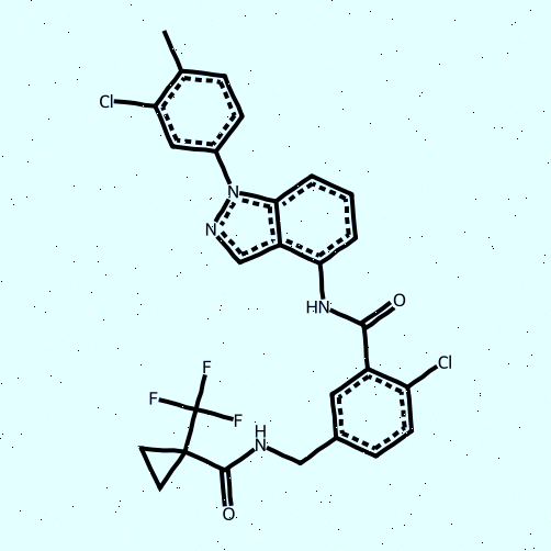 Cc1ccc(-n2ncc3c(NC(=O)c4cc(CNC(=O)C5(C(F)(F)F)CC5)ccc4Cl)cccc32)cc1Cl